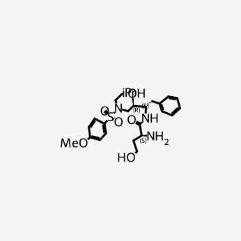 COc1ccc(S(=O)(=O)N(CC(C)C)C[C@@H](O)[C@H](Cc2ccccc2)NC(=O)[C@@H](N)CCO)cc1